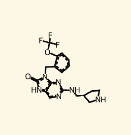 O=c1[nH]c2cnc(NC[C@H]3CCNC3)nc2n1Cc1ccccc1OC(F)(F)F